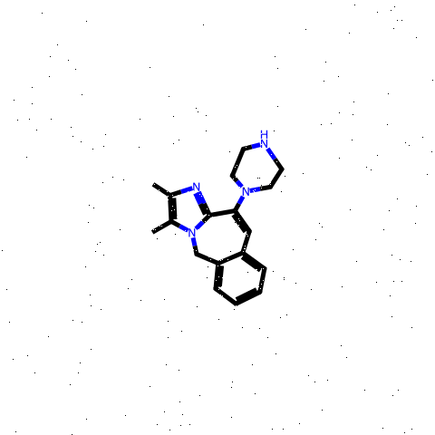 Cc1nc2n(c1C)Cc1ccccc1C=C2N1CCNCC1